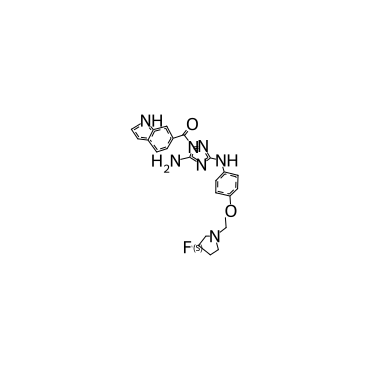 Nc1nc(Nc2ccc(OCCN3CC[C@H](F)C3)cc2)nn1C(=O)c1ccc2cc[nH]c2c1